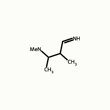 CNC(C)C(C)C=N